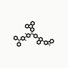 Cc1cc(N(c2ccccc2)c2ccccc2)ccc1-c1ccc(N(c2ccc(-c3ccc(-c4ccc5sc6ccccc6c5c4)c4ccccc34)cc2)c2ccc3c4ccccc4c4ccccc4c3c2)cc1C